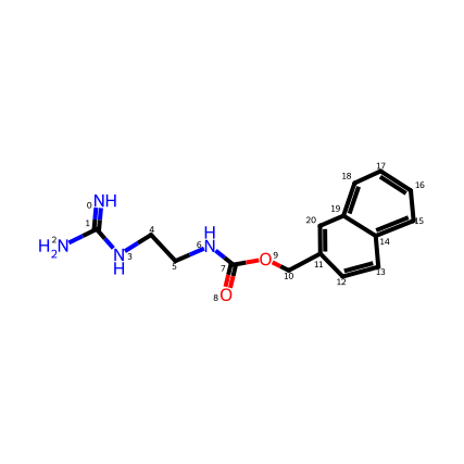 N=C(N)NCCNC(=O)OCc1ccc2ccccc2c1